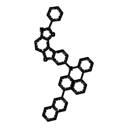 c1ccc(-c2nc3ccc4oc5cc(N(c6ccc(-c7ccc8ccccc8c7)cc6)c6ccccc6-c6ccccc6)ccc5c4c3o2)cc1